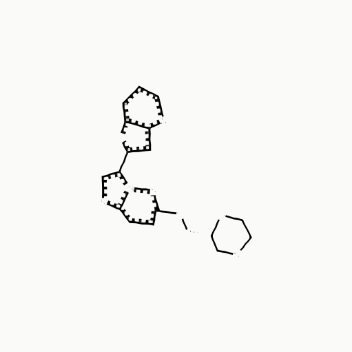 c1cnc2cc(-c3cnc4ccc(OC[C@H]5CNCCO5)nn34)oc2c1